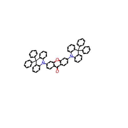 O=c1c2ccc(N3c4ccccc4C(c4ccccc4)(c4ccccc4)c4ccccc43)cc2oc2cc(N3c4ccccc4C(c4ccccc4)(c4ccccc4)c4ccccc43)ccc12